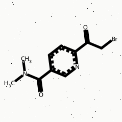 CN(C)C(=O)c1ccc(C(=O)CBr)nc1